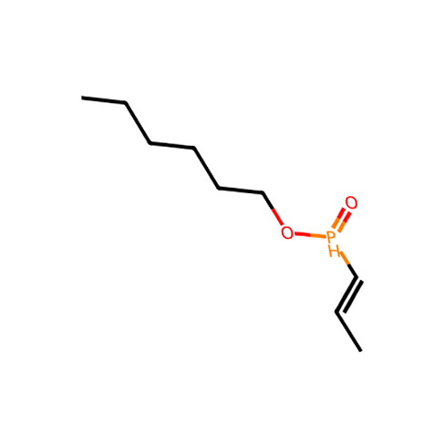 CC=C[PH](=O)OCCCCCC